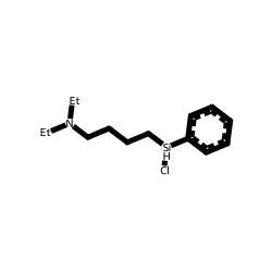 CCN(CC)CCCC[SiH](Cl)c1ccccc1